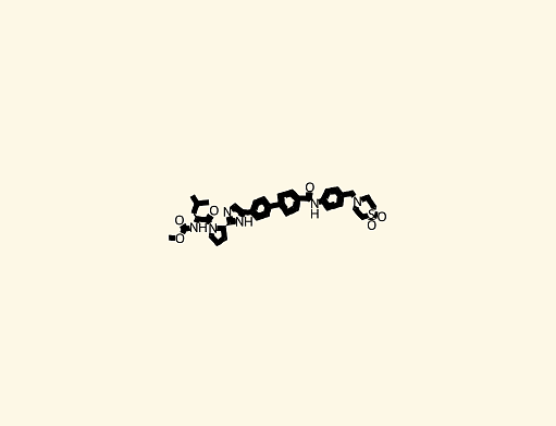 COC(=O)N[C@H](CC(C)C)C(=O)N1CCC[C@H]1c1ncc(-c2ccc(-c3ccc(C(=O)Nc4ccc(CN5CCS(=O)(=O)CC5)cc4)cc3)cc2)[nH]1